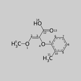 CO/C=C(\Oc1ccccc1C)C(=O)O